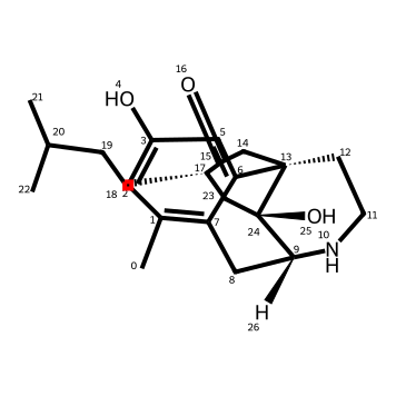 Cc1cc(O)cc2c1C[C@H]1NCC[C@@]23CC(=O)[C@@H](CCC(C)C)C[C@@]13O